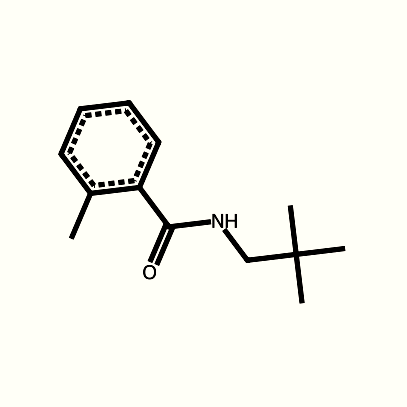 Cc1ccccc1C(=O)NCC(C)(C)C